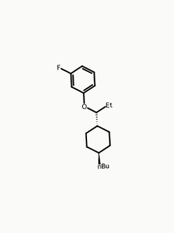 CCCC[C@H]1CC[C@H](C(CC)Oc2cccc(F)c2)CC1